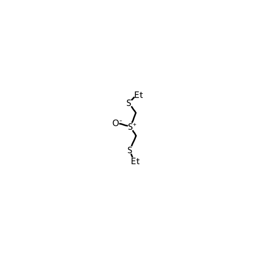 CCSC[S+]([O-])CSCC